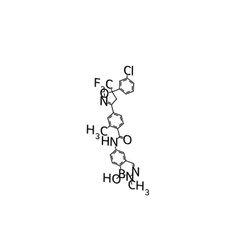 Cc1cc(C2=NOC(c3cccc(Cl)c3)(C(F)(F)F)C2)ccc1C(=O)Nc1ccc2c(c1)C=NN(C)B2O